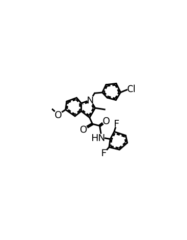 COc1ccc2c(c1)c(C(=O)C(=O)Nc1c(F)cccc1F)c(C)n2Cc1ccc(Cl)cc1